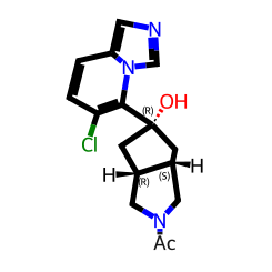 CC(=O)N1C[C@@H]2C[C@@](O)(c3c(Cl)ccc4cncn34)C[C@@H]2C1